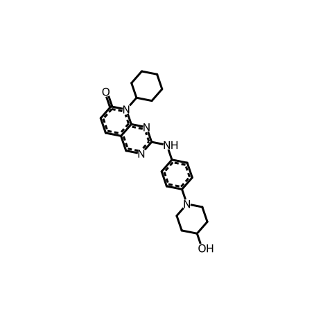 O=c1ccc2cnc(Nc3ccc(N4CCC(O)CC4)cc3)nc2n1C1CCCCC1